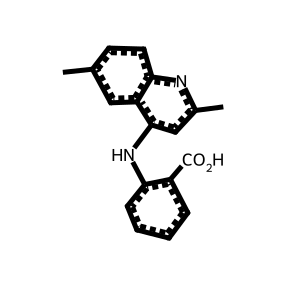 Cc1ccc2nc(C)cc(Nc3ccccc3C(=O)O)c2c1